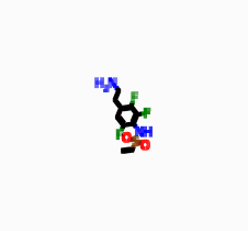 C=CS(=O)(=O)Nc1c(F)cc(CCN)c(F)c1F